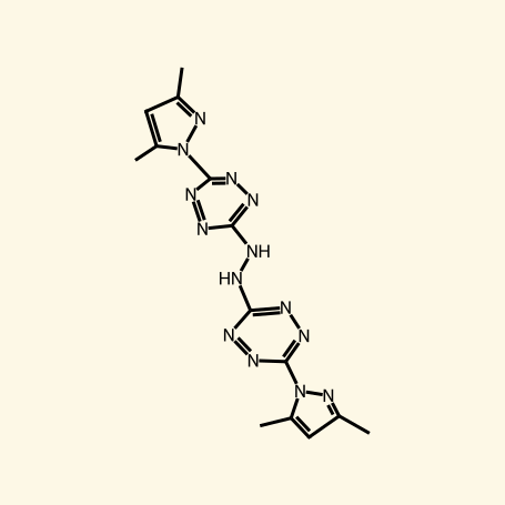 Cc1cc(C)n(-c2nnc(NNc3nnc(-n4nc(C)cc4C)nn3)nn2)n1